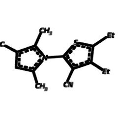 CCc1sc(-n2c(C)cc(C=O)c2C)c(C#N)c1CC